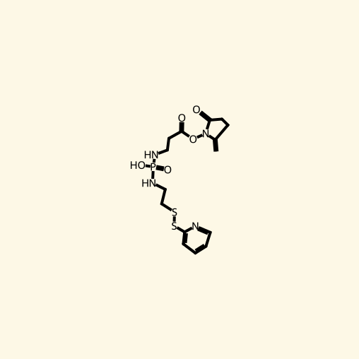 C=C1CCC(=O)N1OC(=O)CCNP(=O)(O)NCCSSc1ccccn1